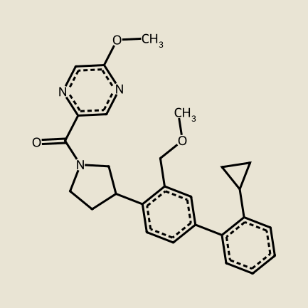 COCc1cc(-c2ccccc2C2CC2)ccc1C1CCN(C(=O)c2cnc(OC)cn2)C1